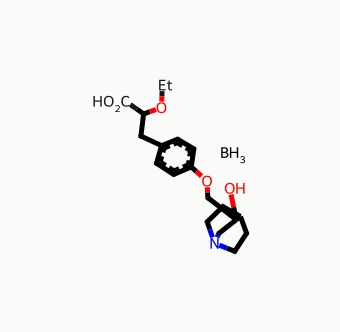 B.CCOC(Cc1ccc(OCC2(O)CN3CCC2CC3)cc1)C(=O)O